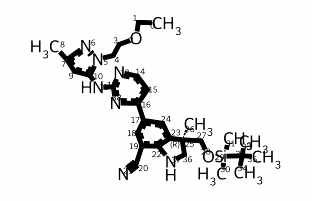 CCOCCn1nc(C)cc1Nc1nccc(-c2cc(C#N)c3c(c2)[C@@](C)(CO[Si](C)(C)C(C)(C)C)CN3)n1